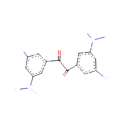 CCN(CC)c1cc(N)cc(C(=O)C(=O)c2cc(N)cc(N(CC)CC)c2)c1